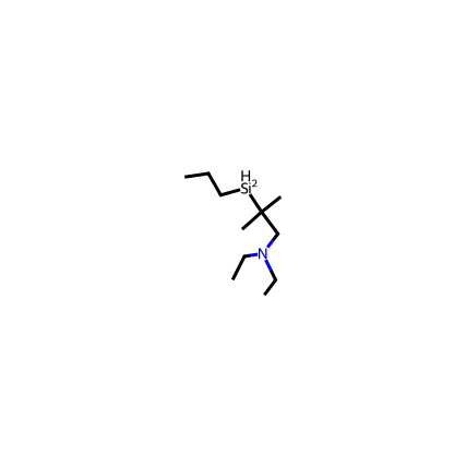 CCC[SiH2]C(C)(C)CN(CC)CC